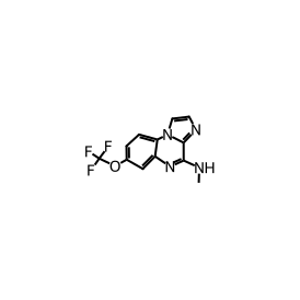 CNc1nc2cc(OC(F)(F)F)ccc2n2ccnc12